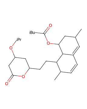 CCC(C)C(=O)OC1CC(C)C=C2C=CC(C)C(CCC3CC(OC(C)C)CC(=O)O3)C21